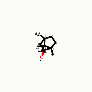 CC(=O)C12CCC(C)(C(=O)C1)C2(C)C